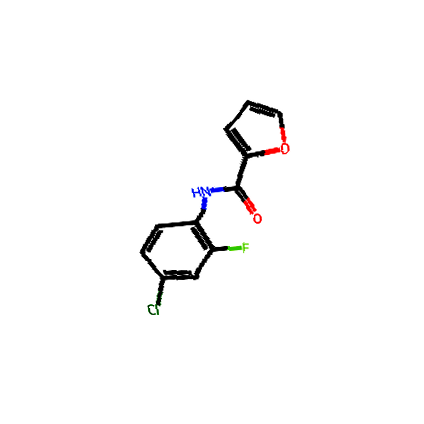 O=C(Nc1ccc(Cl)cc1F)c1ccco1